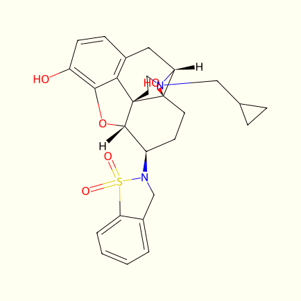 O=S1(=O)c2ccccc2CN1[C@@H]1CC[C@@]2(O)[C@H]3Cc4ccc(O)c5c4[C@@]2(CCN3CC2CC2)[C@H]1O5